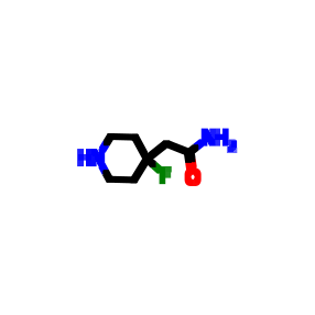 NC(=O)CC1(F)CCNCC1